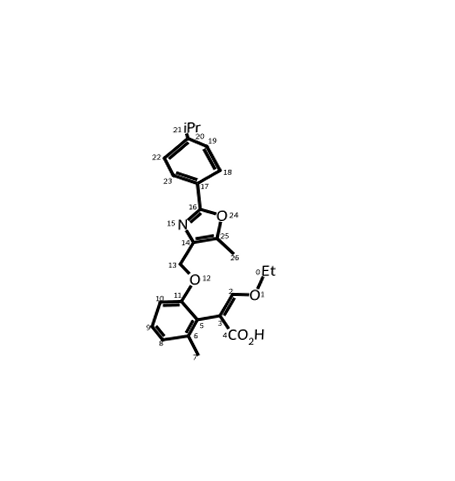 CCOC=C(C(=O)O)c1c(C)cccc1OCc1nc(-c2ccc(C(C)C)cc2)oc1C